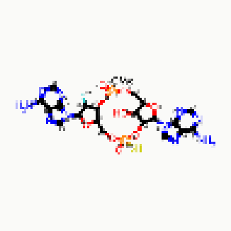 COP1(=O)OCC2OC(n3cnc4c(N)ncnc43)C(OP(=O)(S)OCC3OC(n4cnc5c(N)ncnc54)C(F)C3O1)C2O